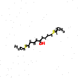 CCSCCCCC(O)CCCCSCC